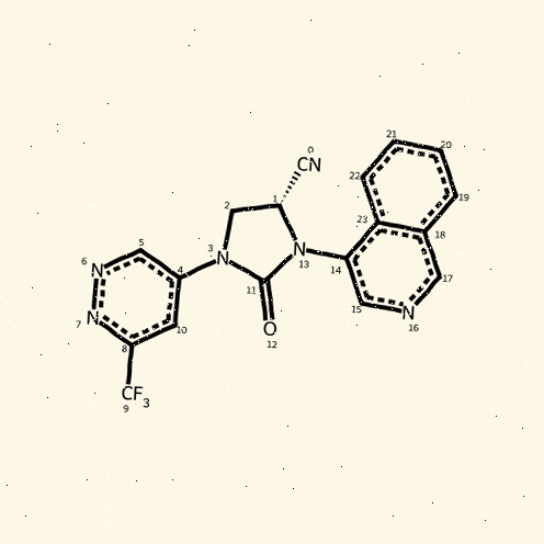 N#C[C@H]1CN(c2cnnc(C(F)(F)F)c2)C(=O)N1c1cncc2ccccc12